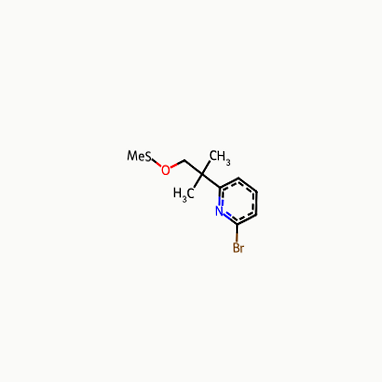 CSOCC(C)(C)c1cccc(Br)n1